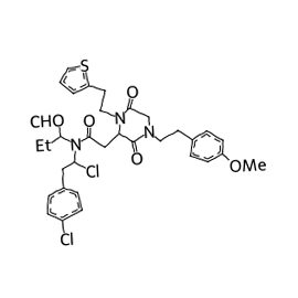 CCC(C=O)N(C(=O)CC1C(=O)N(CCc2ccc(OC)cc2)CC(=O)N1CCc1cccs1)C(Cl)Cc1ccc(Cl)cc1